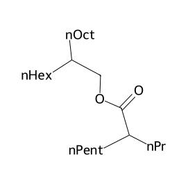 CCCCCCCCC(CCCCCC)COC(=O)C(CCC)CCCCC